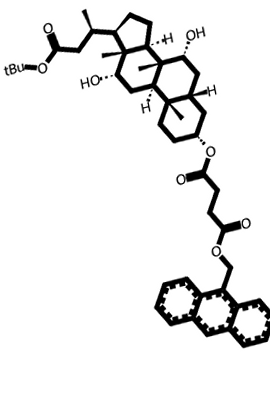 C[C@H](CC(=O)OC(C)(C)C)[C@H]1CC[C@@H]2[C@]1(C)[C@@H](O)C[C@@H]1[C@@]3(C)CC[C@@H](OC(=O)CCC(=O)OCc4c5ccccc5cc5ccccc45)C[C@H]3C[C@@H](O)[C@@]21C